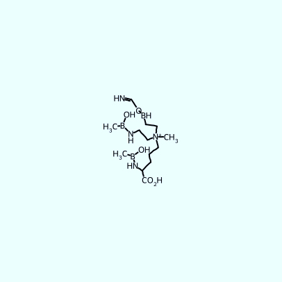 CB(O)NCC[N+](C)(CCBOC=N)CCCC(NB(C)O)C(=O)O